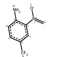 C=[N+]([O-])c1cc(C(F)(F)F)ccc1N